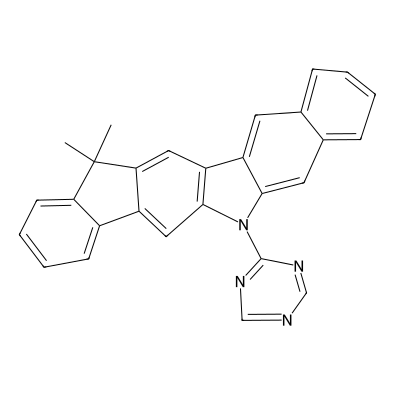 CC1(C)c2ccccc2-c2cc3c(cc21)c1cc2ccccc2cc1n3-c1ncncn1